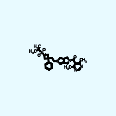 Cc1ncnc(C)c1C(=O)N1CC2=CN(CCC3(c4ccccc4)CN(S(=O)(=O)C(C)C)C3)CC2C1